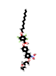 CCCCCCCCCCCCOc1c(F)c(F)c(C(=O)Oc2ccc(-c3ccc(OC(C)C[Si](C)(C)O[Si](C)(C)C)c([N+](=O)[O-])c3)cc2)c(F)c1F